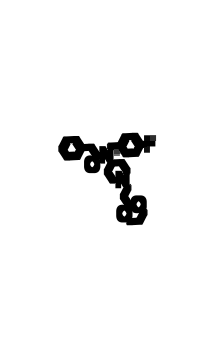 O=C(Cc1ccccc1)[N+](=Cc1ccc(F)cc1)C1CCN(CCC2OCCCO2)CC1